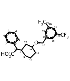 O=C(O)C(c1ccccc1)C1CCCC(OCc2cc(C(F)(F)F)cc(C(F)(F)F)c2)C1